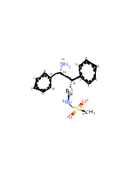 CS(=O)(=O)[NH][Ru][C@@H](c1ccccc1)[C@@H](N)c1ccccc1